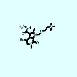 Cc1c(C(=O)NN)c2c(Br)cn(C)c(=O)c2n1COCC[Si](C)(C)C